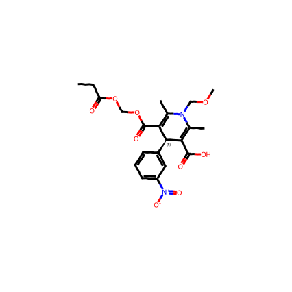 CCC(=O)OCOC(=O)C1=C(C)N(COC)C(C)=C(C(=O)O)[C@H]1c1cccc([N+](=O)[O-])c1